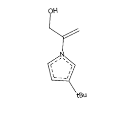 C=C(CO)n1ccc(C(C)(C)C)c1